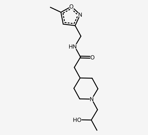 Cc1cc(CNC(=O)CC2CCN(CC(C)O)CC2)no1